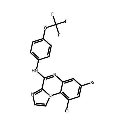 FC(F)(F)Oc1ccc(Nc2nc3cc(Br)cc(Cl)c3n3ccnc23)cc1